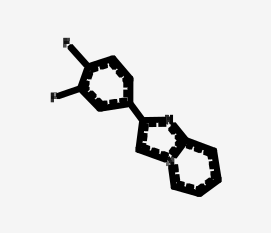 Fc1ccc(-c2cn3ccccc3n2)cc1F